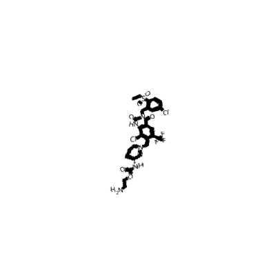 CCS(=O)(=O)c1ccc(Cl)cc1Cn1c(=O)[nH]c2c(Cl)c(CN3CCC[C@@H](NC(=O)OCCN)C3)c(C(F)(F)F)cc2c1=O